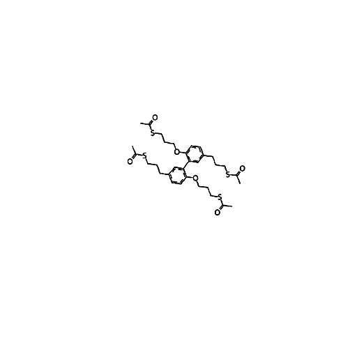 CC(=O)SCCCOc1ccc(CCCSC(C)=O)cc1-c1cc(CCCSC(C)=O)ccc1OCCCSC(C)=O